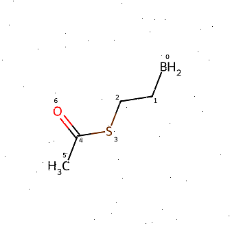 BCCSC(C)=O